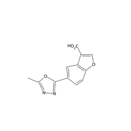 Cc1nnc(-c2ccc3occ(C(=O)O)c3c2)o1